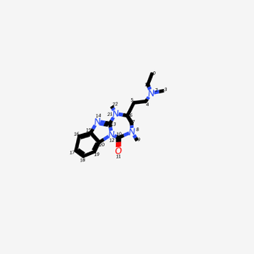 CCN(C)CCC1CN(C)C(=O)n2c(nc3ccccc32)N1C